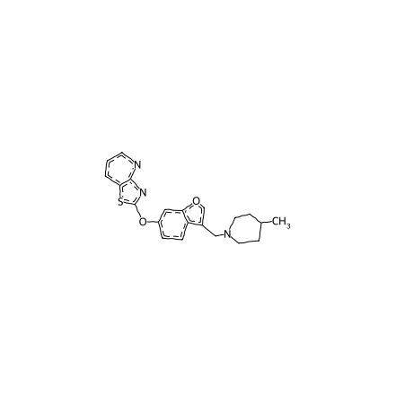 CC1CCN(Cc2coc3cc(Oc4nc5ncccc5s4)ccc23)CC1